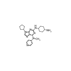 CN(c1ccncc1)c1nc(NC2CCC(N)CC2)nc2c1ncn2C1CCCC1